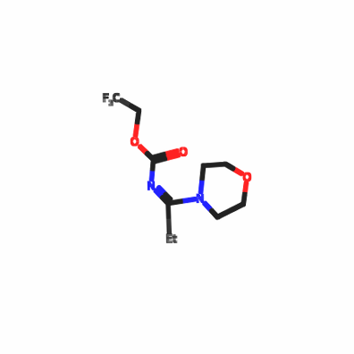 CC/C(=N/C(=O)OCC(F)(F)F)N1CCOCC1